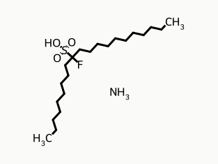 CCCCCCCCCCCC(F)(CCCCCCCCC)S(=O)(=O)O.N